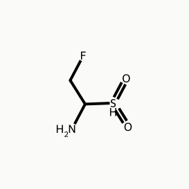 NC(CF)[SH](=O)=O